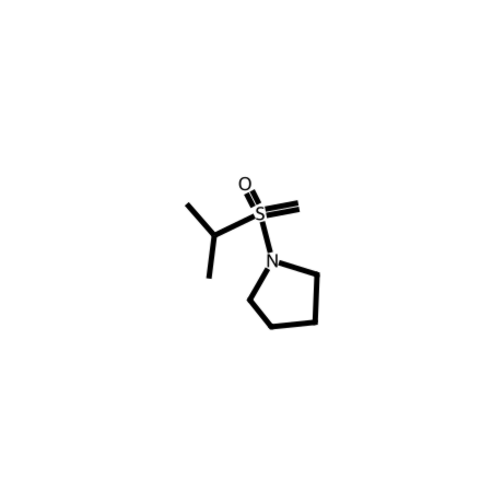 C=S(=O)(C(C)C)N1CCCC1